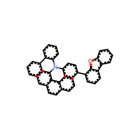 c1ccc(-c2ccccc2N(c2ccc(-c3cccc4c3oc3ccccc34)cc2)c2cccc3ccc4ccccc4c23)cc1